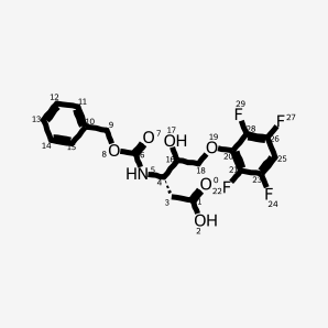 O=C(O)C[C@H](NC(=O)OCc1ccccc1)C(O)COc1c(F)c(F)cc(F)c1F